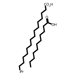 CC(C)CCCCCCCCCCCCCCC(=O)O.CCCCCCCCCCC(=O)O